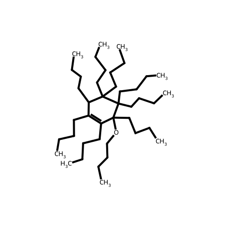 CCCCOC1(CCCC)C(CCCC)=C(CCCC)C(CCCC)C(CCCC)(CCCC)C1(CCCC)CCCC